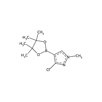 Cn1cc(B2OC(C)(C)C(C)(C)O2)c(Cl)n1